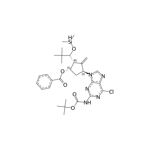 C=C1[C@@H](C(O[SiH](C)C)C(C)(C)C)[C@@H](OC(=O)c2ccccc2)C[C@@H]1n1cnc2c(Cl)nc(NC(=O)OC(C)(C)C)nc21